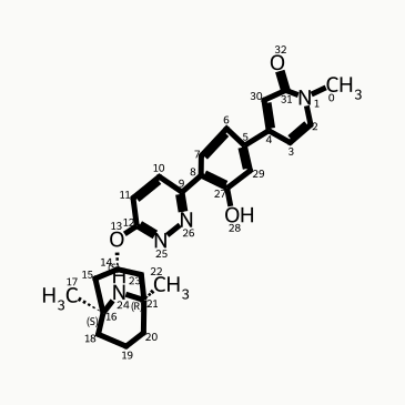 Cn1ccc(-c2ccc(-c3ccc(O[C@H]4C[C@]5(C)CCC[C@](C)(C4)N5)nn3)c(O)c2)cc1=O